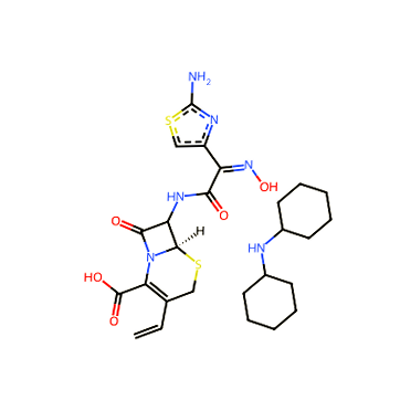 C1CCC(NC2CCCCC2)CC1.C=CC1=C(C(=O)O)N2C(=O)C(NC(=O)/C(=N\O)c3csc(N)n3)[C@H]2SC1